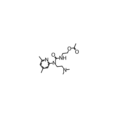 CC(=O)OCCNC(=O)N(CCN(C)C)c1cc(C)cc(C)n1